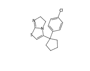 Clc1ccc(C2(C3=CSC4=NCCN34)CCCC2)cc1